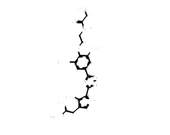 Cc1cc(-c2nnc(-c3scc(CC(C)C)c3C)o2)cc(C)c1OCCNC(=O)CO